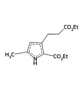 CCOC(=O)CCc1cc(C)[nH]c1C(=O)OCC